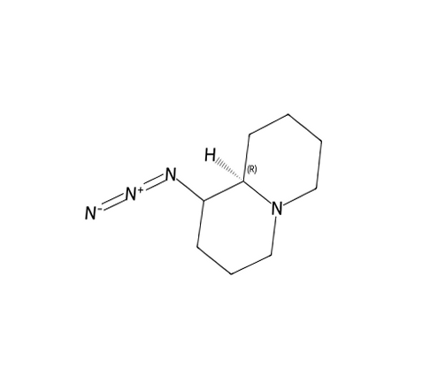 [N-]=[N+]=NC1CCCN2CCCC[C@H]12